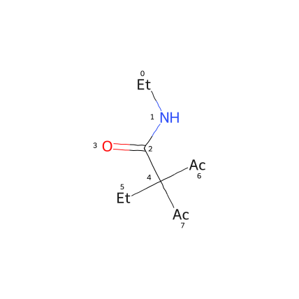 CCNC(=O)C(CC)(C(C)=O)C(C)=O